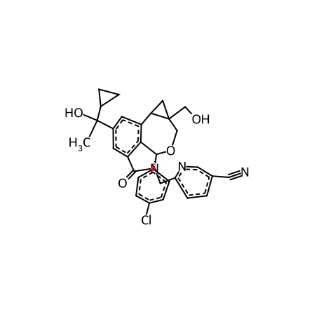 CC(O)(c1cc2c3c(c1)C1CC1(CO)CO[C@@]3(c1ccc(Cl)cc1)N(Cc1ccc(C#N)cn1)C2=O)C1CC1